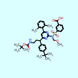 COCN(c1nc(-c2c(C)cccc2C)cc(C(CCNC(=O)OC(C)(C)C)c2ccc(C(C)(C)C)cc2)n1)S(=O)(=O)c1cccc(C(=O)O)c1